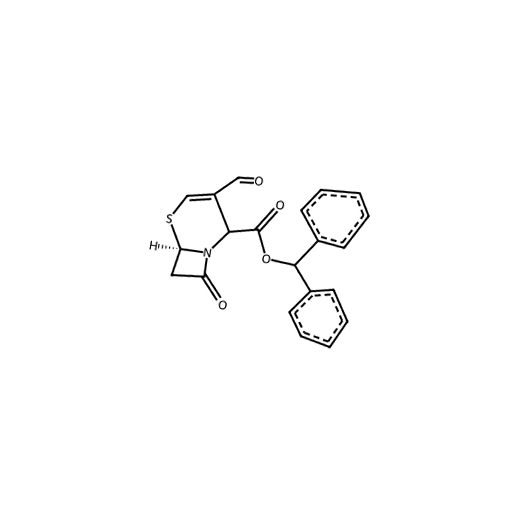 O=CC1=CS[C@@H]2CC(=O)N2C1C(=O)OC(c1ccccc1)c1ccccc1